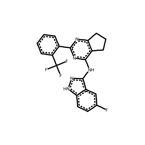 Fc1ccc2[nH]nc(Nc3nc(-c4ccccc4C(F)(F)F)nc4c3CCC4)c2c1